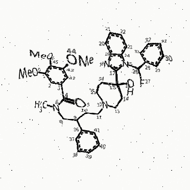 COc1cc(C(=O)N(C)CC(CCN2CCC(O)(c3nc4ccccc4n3C(F)c3ccccc3)CC2)c2ccccc2)cc(OC)c1OC